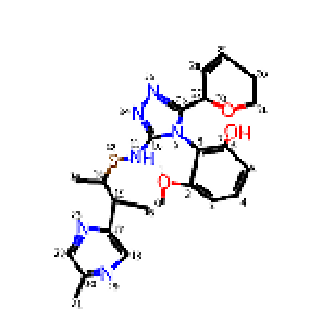 COc1cccc(O)c1-n1c(NSC(C)C(C)c2cnc(C)cn2)nnc1C1C=CCCO1